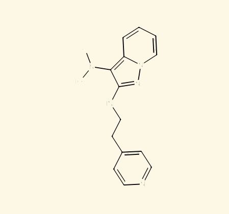 ON(O)c1c(NCCc2ccncc2)nn2ccccc12